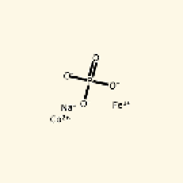 O=P([O-])([O-])[O-].[Co+2].[Fe+2].[Na+]